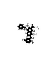 COc1ccc(Cl)c2c1C(=O)C1=C(O)C3C(=O)C(C(N)=O)=C(O)C(NC(=S)c4ccccc4)C3CC1S2